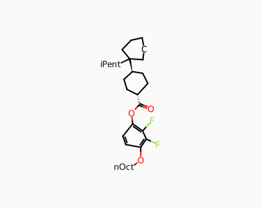 CCCCCCCCOc1ccc(OC(=O)[C@H]2CC[C@H](C3(C(C)CCC)CCCCC3)CC2)c(F)c1F